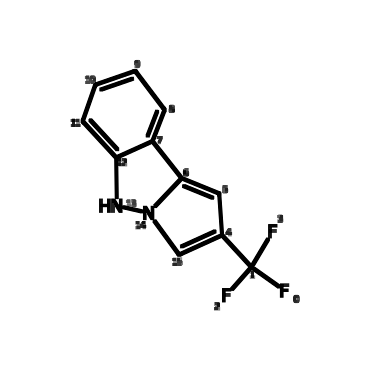 FC(F)(F)c1cc2c3ccccc3[nH]n2c1